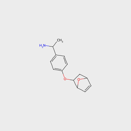 CC(N)c1ccc(OC2CC3C=CC2O3)cc1